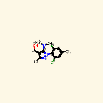 CCc1nn(-c2c(Cl)cc(C(F)(F)F)cc2Cl)c(N(C)C)c1CO